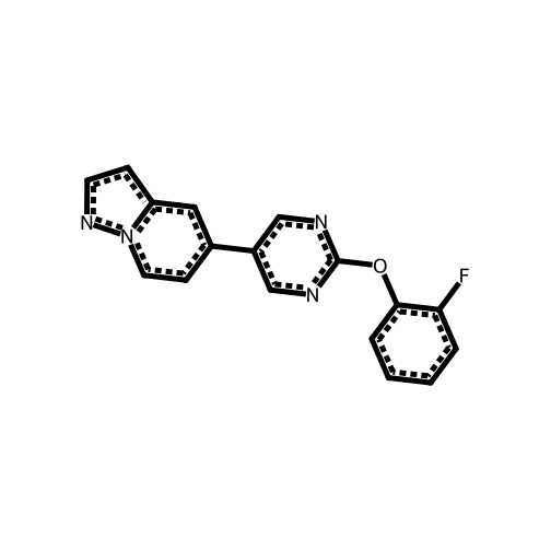 Fc1ccccc1Oc1ncc(-c2ccn3nccc3c2)cn1